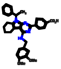 COc1ccc(CNc2nc(-c3ccc(C(=O)O)cc3)nc3c2c2c(n3C(C)c3ccccc3)CCCC2)cc1OC